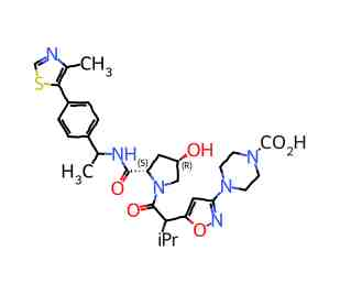 Cc1ncsc1-c1ccc(C(C)NC(=O)[C@@H]2C[C@@H](O)CN2C(=O)C(c2cc(N3CCN(C(=O)O)CC3)no2)C(C)C)cc1